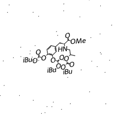 CCC(C)OC(=O)Oc1ccc(C[C@H](NCC(C)OC(=O)OC(C)CC)C(=O)OC)cc1OC(=O)OC(C)CC